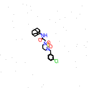 O=C(CN1CCCN(Cc2cccc(Cl)c2)S1(=O)=O)NC1C2CC3CC(C2)CC1C3